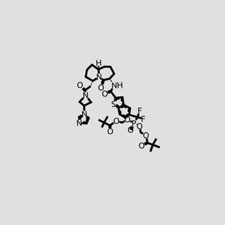 CC(C)(C)C(=O)OCOP(=O)(OCOC(=O)C(C)(C)C)C(F)(F)c1ccc2sc(C(=O)N[C@H]3CCC[C@H]4CCC[C@@H](CC(=O)N5CC(n6ccnc6)C5)N4C3=O)cc2c1